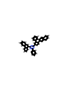 c1ccc(-c2nc(-c3ccc(-c4ccc5ccccc5c4)c(-c4ccccc4)c3)nc(-c3cc4ccccc4c4ccccc34)n2)cc1